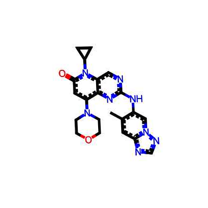 Cc1cc2ncnn2cc1Nc1ncc2c(n1)c(N1CCOCC1)cc(=O)n2C1CC1